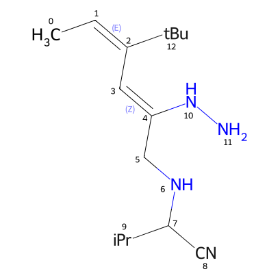 C/C=C(\C=C(\CNC(C#N)C(C)C)NN)C(C)(C)C